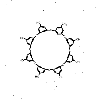 Cc1cc2cc(c1)Cc1cc(O)cc(c1)Cc1cc(O)cc(c1)Cc1cc(O)cc(c1)Cc1cc(O)cc(c1)Cc1cc(O)cc(c1)Cc1cc(O)cc(c1)Cc1cc(O)cc(c1)C2